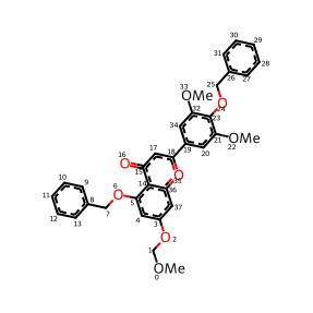 COCOc1cc(OCc2ccccc2)c2c(=O)cc(-c3cc(OC)c(OCc4ccccc4)c(OC)c3)oc2c1